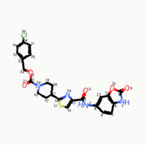 O=C(Nc1ccc2[nH]c(=O)oc2c1)c1csc(C2CCN(C(=O)OCc3ccc(Cl)cc3)CC2)n1